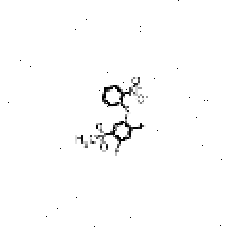 CS(=O)(=O)c1cc(Sc2ccccc2[N+](=O)[O-])c(F)cc1F